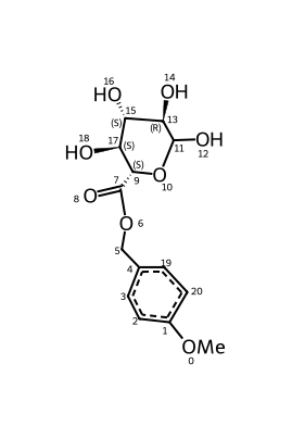 COc1ccc(COC(=O)[C@H]2OC(O)[C@H](O)[C@@H](O)[C@@H]2O)cc1